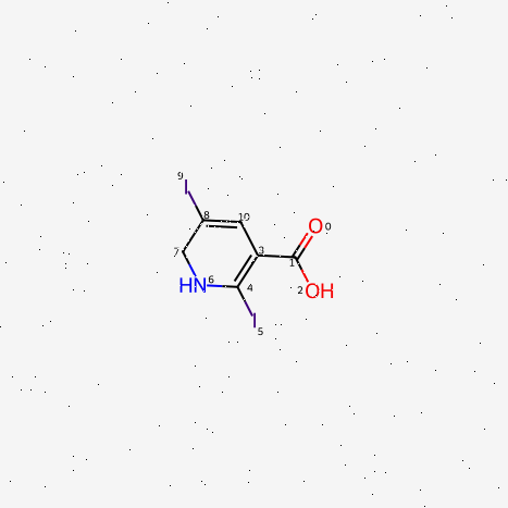 O=C(O)C1=C(I)NCC(I)=C1